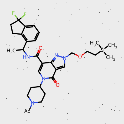 CC(=O)N1CCC(n2cc(C(=O)NC(C)c3cccc4c3CCC4(F)F)c3nn(COCC[Si](C)(C)C)cc3c2=O)CC1